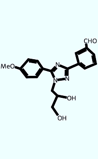 COc1ccc(-c2nc(-c3cccc(C=O)c3)nn2CC(O)CO)cc1